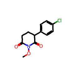 CON1C(=O)CCC(c2ccc(Cl)cc2)C1=O